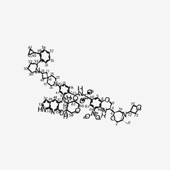 C[C@@H]1CO[C@@H]([C@@H]2COc3cc(S(=O)(=O)NC(=O)c4ccc(N5CCC6(CC5)CC(N5CCC[C@H]5c5ccccc5C5CC5)C6)cc4N4c5cc6cc[nH]c6nc5O[C@H]5COCC[C@H]54)cc([N+](=O)[O-])c3N2)CN1C1COC1